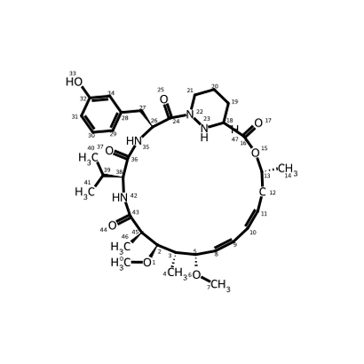 CO[C@@H]1[C@@H](C)[C@@H](OC)C=CC=CC[C@@H](C)OC(=O)[C@@H]2CCCN(N2)C(=O)[C@H](Cc2cccc(O)c2)NC(=O)[C@H](C(C)C)NC(=O)[C@@H]1C